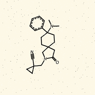 CN(C)C1(c2ccccc2)CCC2(CC1)CC(=O)N(CC1(C#N)CC1)C2